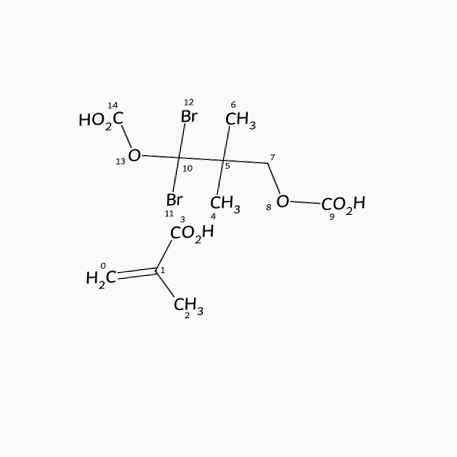 C=C(C)C(=O)O.CC(C)(COC(=O)O)C(Br)(Br)OC(=O)O